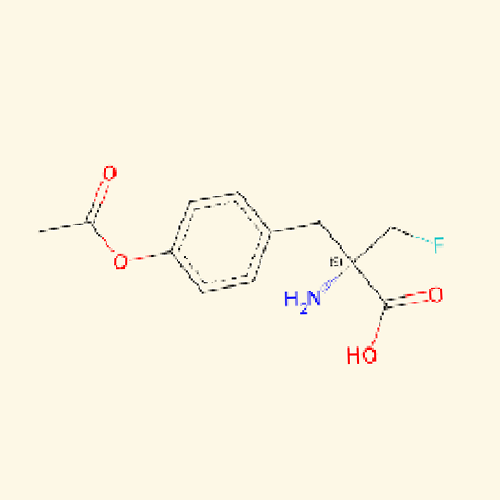 CC(=O)Oc1ccc(C[C@@](N)(CF)C(=O)O)cc1